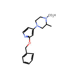 CC1CN(c2ccnc(OCc3ccccc3)c2)CCN1C(=O)O